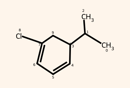 CC(C)[C]1C=CC=C(Cl)C1